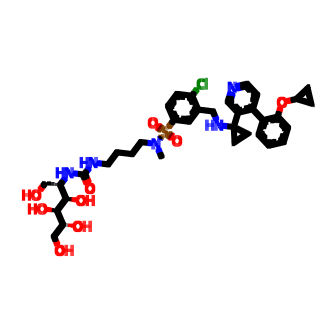 CN(CCCCNC(=O)N[C@@H](CO)[C@@H](O)[C@H](O)[C@H](O)CO)S(=O)(=O)c1ccc(Cl)c(CNC2(c3cnccc3-c3ccccc3OC3CC3)CC2)c1